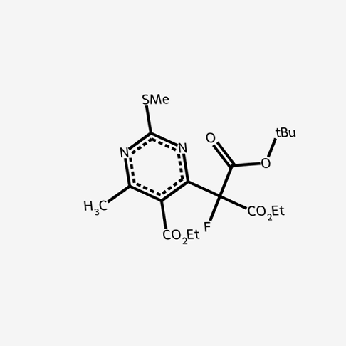 CCOC(=O)c1c(C)nc(SC)nc1C(F)(C(=O)OCC)C(=O)OC(C)(C)C